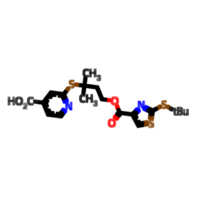 CC(C)(C)Sc1nc(C(=O)OCCC(C)(C)Sc2cc(C(=O)O)ccn2)cs1